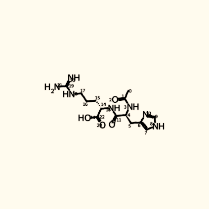 CC(=O)N[C@@H](Cc1c[nH]cn1)C(=O)N[C@@H](CCCNC(=N)N)C(=O)O